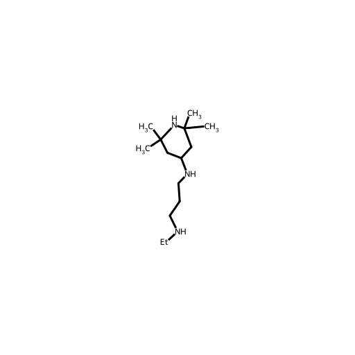 CCNCCCNC1CC(C)(C)NC(C)(C)C1